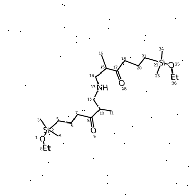 CCO[Si](C)(C)CCCC(=O)C(C)CNCC(C)C(=O)CCC[Si](C)(C)OCC